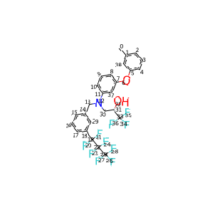 Cc1cccc(Oc2cccc(N(Cc3cccc(C(F)(F)C(F)(F)C(F)(F)F)c3)CC(O)C(F)(F)F)c2)c1